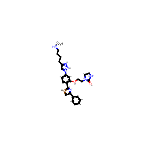 O=C(O)NCCCCc1cn(-c2ccc(-c3nc(-c4ccccc4)cs3)c(OCCN3CCNC3=O)c2)nn1